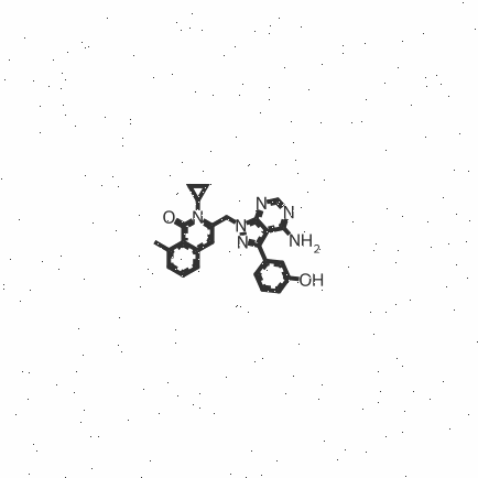 Cc1cccc2cc(Cn3nc(-c4cccc(O)c4)c4c(N)ncnc43)n(C3CC3)c(=O)c12